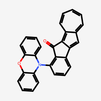 O=C1c2c3cccccc-3cc2-c2cccc(N3c4ccccc4Oc4ccccc43)c21